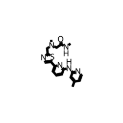 CNC(=O)CN(C)Cc1ncc(-c2cccc(Nc3cc(C)ccn3)n2)s1